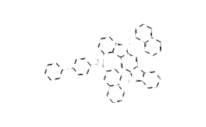 c1ccc(-c2ccc(N(c3ccc4ccccc4c3)c3cccc4oc5c(-c6cccc7ccccc67)c6c(cc5c34)oc3ccccc36)cc2)cc1